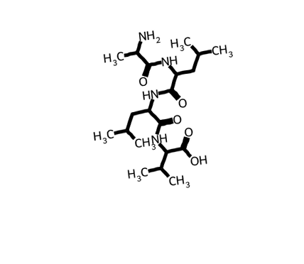 CC(C)CC(NC(=O)C(C)N)C(=O)NC(CC(C)C)C(=O)NC(C(=O)O)C(C)C